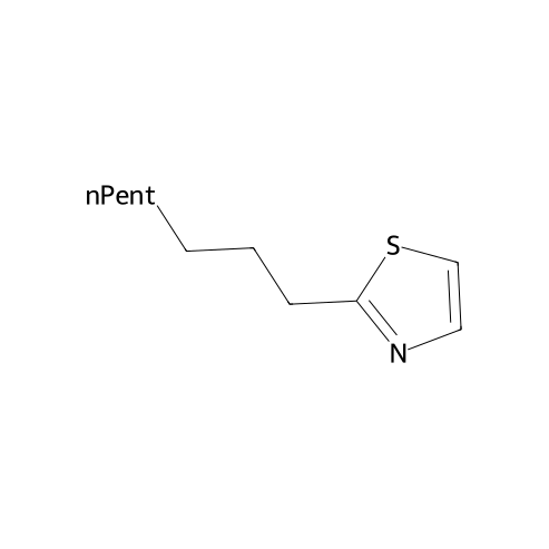 CCCCCCCCc1nccs1